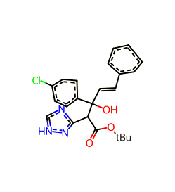 CC(C)(C)OC(=O)C(c1nc[nH]n1)C(O)(C=Cc1ccccc1)c1ccc(Cl)cc1